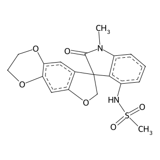 CN1C(=O)C2(COc3cc4c(cc32)OCCO4)c2c(NS(C)(=O)=O)cccc21